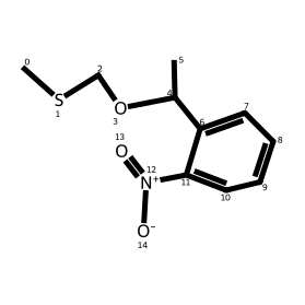 CSCOC(C)c1ccccc1[N+](=O)[O-]